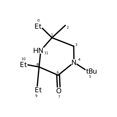 CCC1(C)CN(C(C)(C)C)C(=O)C(CC)(CC)N1